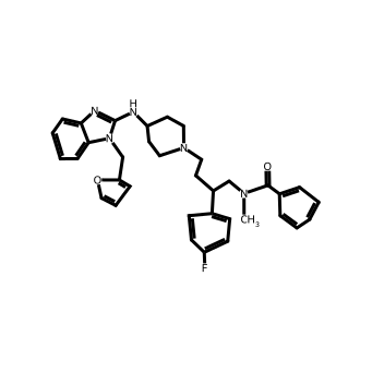 CN(CC(CCN1CCC(Nc2nc3ccccc3n2Cc2ccco2)CC1)c1ccc(F)cc1)C(=O)c1ccccc1